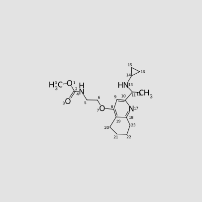 COC(=O)NCCOc1cc(C(C)NC2CC2)nc2c1CCCC2